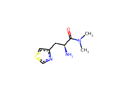 CN(C)C(=O)[C@@H](N)Cc1cscn1